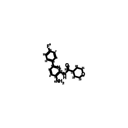 Nc1ccc(-c2ccc(F)cc2)nc1NC(=O)C1CCOCC1